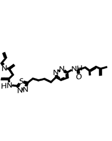 C=C/C=N\C(=C)CC(=C)Nc1nnc(CCCCc2ccc(NC(=O)C/C(C)=C/C(=C)C)nn2)s1